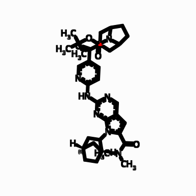 CN(C)C(=O)c1cc2cnc(Nc3ccc(C(=O)N4CC5CCC(C4)N5C(=O)OC(C)(C)C)cn3)nc2n1C1C[C@H]2CC[C@@H]1C2